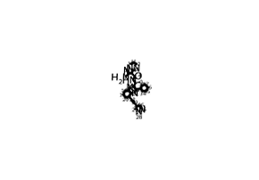 C[C@H](NC(=O)c1c(N)nn2cccnc12)c1nc2cccc(C#Cc3cnn(C)c3)c2nc1-c1ccccc1